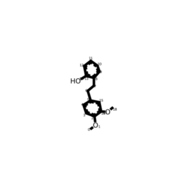 COc1ccc(CCc2ccccc2O)cc1OC